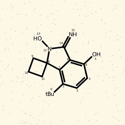 CC(C)(C)c1ccc(O)c2c1C1(CCC1)N(O)C2=N